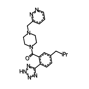 CC(C)Cc1ccc(-c2nn[nH]n2)c(C(=O)N2CCN(Cc3cccnn3)CC2)c1